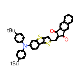 CC(C)(C)c1ccc(N(c2ccc(C(C)(C)C)cc2)c2ccc3c(c2)sc2cc(C=C4C(=O)c5cc6ccccc6cc5C4=O)sc23)cc1